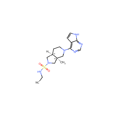 C[C@@]12CN(c3ncnc4[nH]ccc34)CC[C@@H]1CN(S(=O)(=O)NCC#N)C2